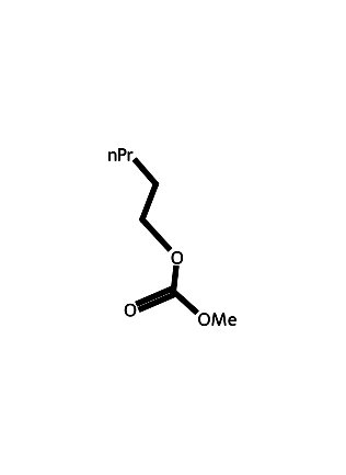 [CH2]CCCCOC(=O)OC